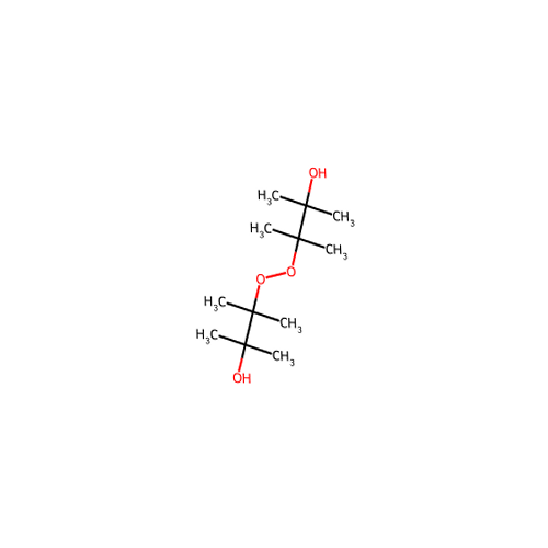 CC(C)(O)C(C)(C)OOC(C)(C)C(C)(C)O